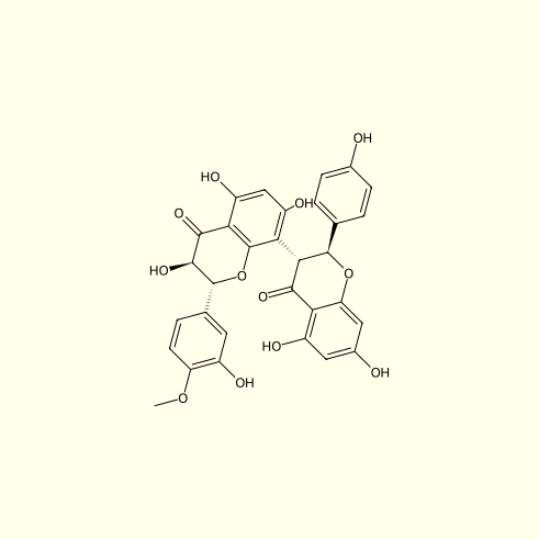 COc1ccc([C@H]2Oc3c(c(O)cc(O)c3[C@H]3C(=O)c4c(O)cc(O)cc4O[C@@H]3c3ccc(O)cc3)C(=O)[C@@H]2O)cc1O